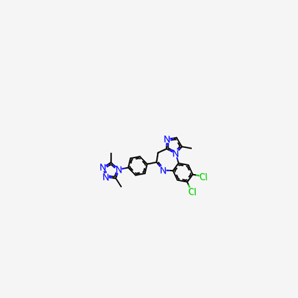 Cc1cnc2n1-c1cc(Cl)c(Cl)cc1N=C(c1ccc(-n3c(C)nnc3C)cc1)C2